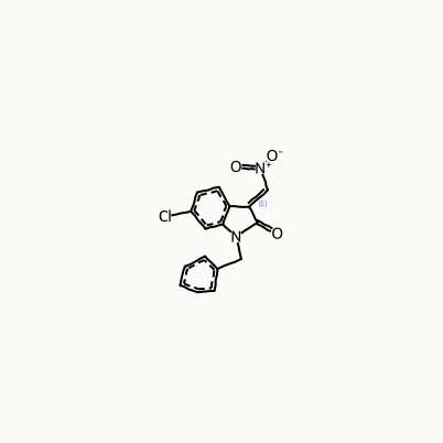 O=C1/C(=C/[N+](=O)[O-])c2ccc(Cl)cc2N1Cc1ccccc1